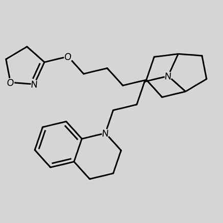 c1ccc2c(c1)CCCN2CCCN1C2CCC1CC(CCCOC1=NOCC1)C2